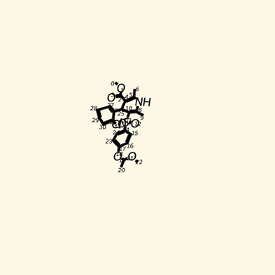 COC(=O)C1=C(C)NC(C)=C(S(=O)(=O)c2ccc(OC(C)OC)cc2)C1c1ccccc1Cl